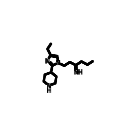 CCCC(=N)CCn1cc(CC)nc1C1CCNCC1